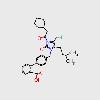 CC(C)CCc1c(CF)n(C(=O)CC2CCCCC2)c(=O)n1Cc1ccc(-c2ccccc2C(=O)O)cc1